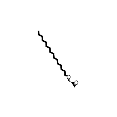 CCCCCCCCCCCCCCCCOC[C@H]1CO1